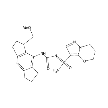 COCC1CCc2cc3c(c(NC(=O)N=S(N)(=O)c4cnn5c4OCCC5)c21)CCC3